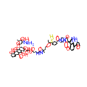 CCC(S)(OCCC(C)(C)NC(=O)CCCC(=O)OCC(=O)[C@]1(O)Cc2c(O)c3c(c(O)c2[C@@H](O[C@H]2C[C@H](N)[C@H](O)[C@H](C)O2)C1)C(=O)c1c(OC)cccc1C3=O)c1cccc(C(=O)N2CCN(C(=O)C(=O)c3c[nH]c4c(-c5ccco5)ccc(OC)c34)CC2)c1